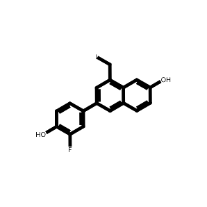 Oc1ccc2cc(-c3ccc(O)c(F)c3)cc(CI)c2c1